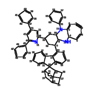 C1#CC=C2C(C=C1)NC1C(c3cccc4c3-c3ccccc3C43C4CC5CC6CC3C56C4)CC(c3cc(-c4ccccc4)cc(-c4ccccc4)n3)CC1N2c1ccccc1